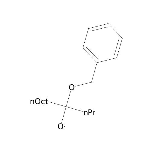 CCCCCCCCC([O])(CCC)OCc1ccccc1